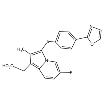 Cc1c(CC(=O)O)c2ccc(F)cn2c1Sc1ccc(-c2ncco2)cc1